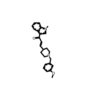 COc1cccc(CN2CCC(C=CC(=O)c3cn(C)c4ccccc34)CC2)c1